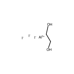 OCCO.[Al+3].[I-].[I-].[I-]